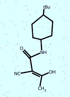 CC(O)=C(C#N)C(=O)NC1CCC(C(C)(C)C)CC1